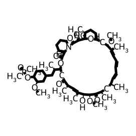 CO[C@H]1C[C@@H]2CC[C@@H](C)[C@@](O)(O2)C(=O)C(=O)N2CCCC[C@H]2C(=O)OC([C@H](C)CC2CCC(OP(C)(C)=O)[C@H](OC)C2)CC(=O)[C@H](C)/C=C(\C)[C@@H](O)[C@@H](OC)C(=O)[C@H](C)C[C@H](C)/C=C/C=C/C=C/1C